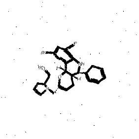 OCC1CCCN1C[C@H]1CC[C@@H]2[C@H](O1)c1cc(Br)cc(F)c1N[C@H]2C1C=CC=CC1